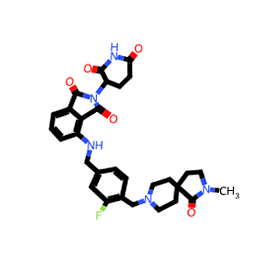 CN1CCC2(CCN(Cc3ccc(CNc4cccc5c4C(=O)N(C4CCC(=O)NC4=O)C5=O)cc3F)CC2)C1=O